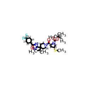 CS[C@H]1C[C@@H](C(=O)N2CCC(c3noc(C4CCC(F)(F)CC4)n3)(C(C)C)CC2)N(C(=O)OC(C)(C)C)C1